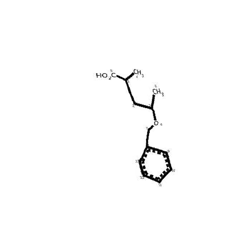 CC(CC(C)C(=O)O)OCc1ccccc1